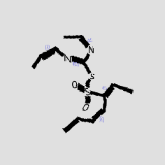 C=C/C=C\C(=C/C)S(=O)(=O)SC(/N=C\C)=N/C=C\C